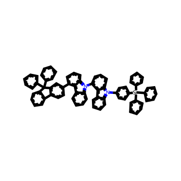 c1ccc(C2(c3ccccc3)c3ccccc3-c3ccc(-c4cccc5c4c4ccccc4n5-c4cccc5c4c4ccccc4n5-c4ccc([Si](c5ccccc5)(c5ccccc5)c5ccccc5)cc4)cc32)cc1